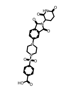 O=C1CCC(N2C(=O)c3ccc(N4CCN(S(=O)(=O)c5ccc(C(=O)O)cc5)CC4)cc3C2=O)C(=O)N1